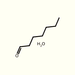 CCCCCCC=O.O